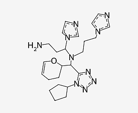 NCCC(N(CCCn1ccnc1)C(c1nnnn1C1CCCC1)C1CCC=CO1)n1ccnc1